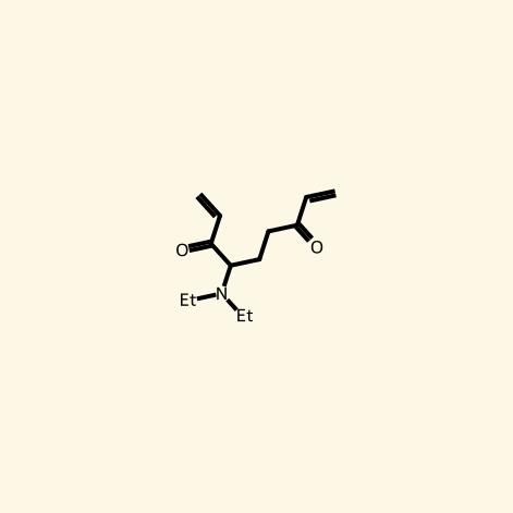 C=CC(=O)CCC(C(=O)C=C)N(CC)CC